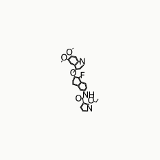 CCOc1ncccc1C(=O)Nc1ccc2c(F)c(Oc3ccnc4cc(OC)c(OC)cc34)ccc2c1